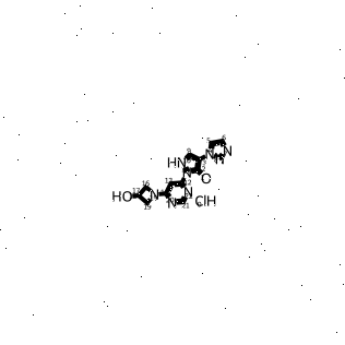 Cl.O=c1c(-n2ccnn2)c[nH]n1-c1cc(N2CC(O)C2)ncn1